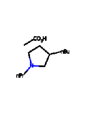 CC(=O)O.CCCCC1CCN(CCC)C1